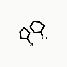 OC1CCCC1.OC1CCCCC1